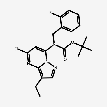 CCc1cnn2c(N(Cc3ccccc3F)C(=O)OC(C)(C)C)cc(Cl)nc12